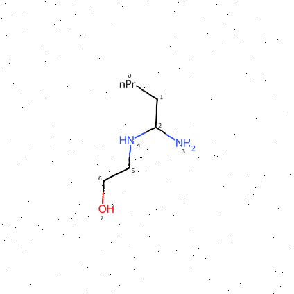 CCCCC(N)NCCO